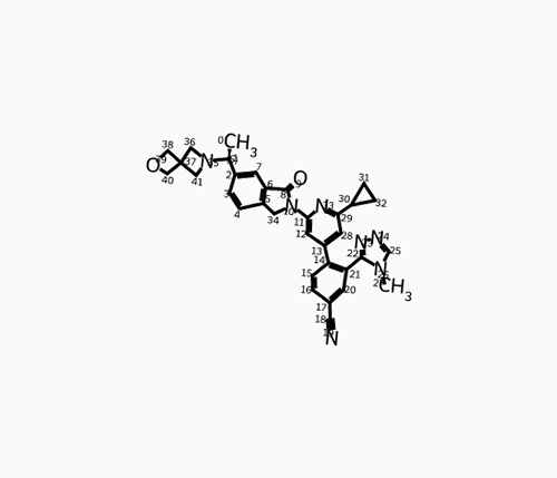 C[C@@H](c1ccc2c(c1)C(=O)N(c1cc(-c3ccc(C#N)cc3-c3nncn3C)cc(C3CC3)n1)C2)N1CC2(COC2)C1